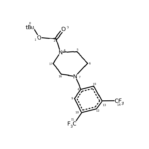 CC(C)(C)OC(=O)N1CCN(c2cc(C(F)(F)F)cc(C(F)(F)F)c2)CC1